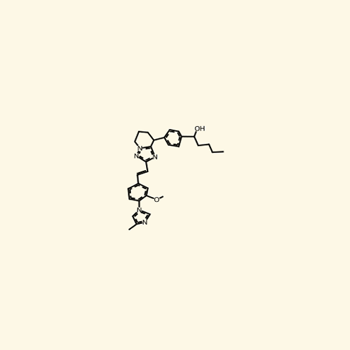 CCCCC(O)c1ccc(C2CCCn3nc(C=Cc4ccc(-n5cnc(C)c5)c(OC)c4)nc32)cc1